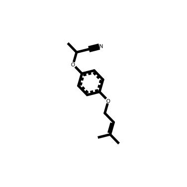 CC(C)=CCOc1ccc(OC(C)C#N)cc1